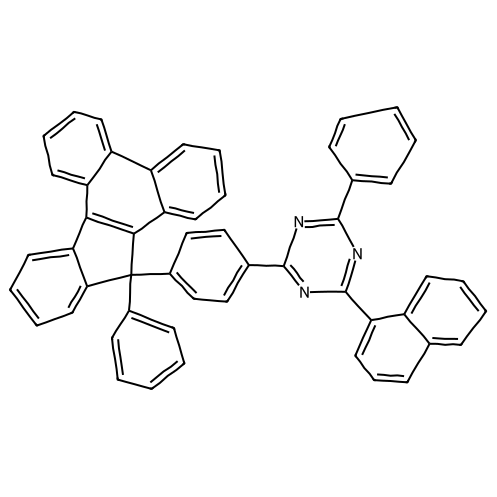 c1ccc(-c2nc(-c3ccc(C4(c5ccccc5)c5ccccc5-c5c4c4ccccc4c4ccccc54)cc3)nc(-c3cccc4ccccc34)n2)cc1